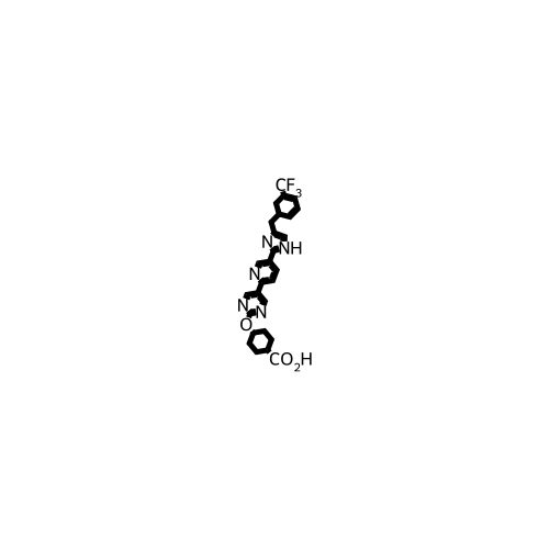 O=C(O)C1CCC(Oc2ncc(-c3ccc(-c4nc(CC5C=CC=C(C(F)(F)F)C5)c[nH]4)cn3)cn2)CC1